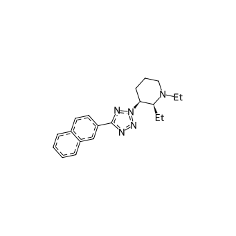 CC[C@H]1[C@@H](n2nnc(-c3ccc4ccccc4c3)n2)CCCN1CC